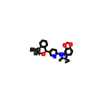 C=C(Nc1ccc(C(OCCC)c2ccccc2OC)cn1)C1(c2ccc3c(c2)OCO3)CC1